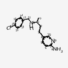 CC(CCc1ccc(N)nc1)NCc1ccc(Cl)cc1